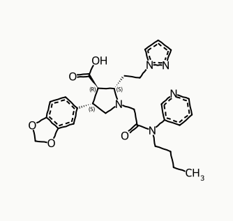 CCCCN(C(=O)CN1C[C@H](c2ccc3c(c2)OCO3)[C@@H](C(=O)O)[C@@H]1CCn1cccn1)c1cccnc1